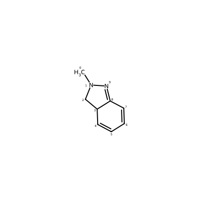 CN1CC2C=CC=CC2=N1